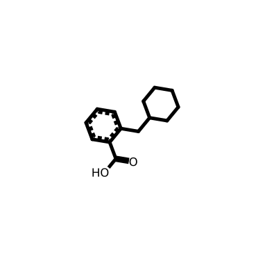 O=C(O)c1ccccc1CC1CCCCC1